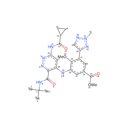 [2H]C([2H])([2H])NC(=O)c1nnc(NC(=O)C2CC2)cc1Nc1cc(C(=O)OC)cc(-c2cnn(C)n2)c1OC